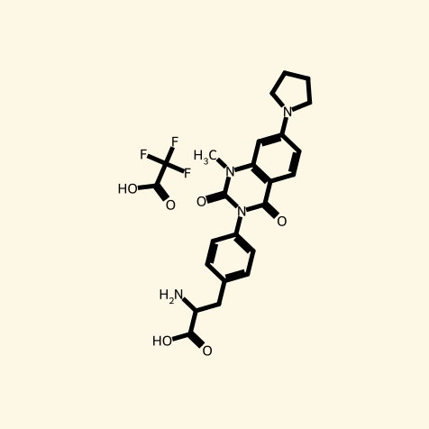 Cn1c(=O)n(-c2ccc(CC(N)C(=O)O)cc2)c(=O)c2ccc(N3CCCC3)cc21.O=C(O)C(F)(F)F